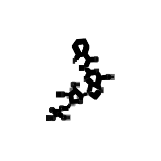 O=C(Nc1nc(O)c2ncn([C@@H]3O[C@H](COP(=O)(O)O)[C@@H](O)[C@H]3O)c2n1)c1ccccc1F